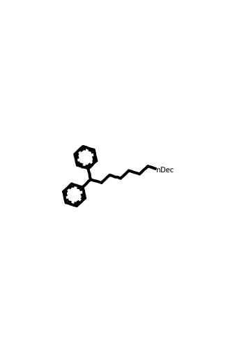 CCCCCCCCCCCCCCCCC(c1ccccc1)c1ccccc1